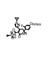 CCCCCCOc1ccc(C2(C)CC(c3ccn(C4CC4)n3)=C(C(=O)NS(=O)(=O)C3CC3)C(=O)N2)c(F)c1